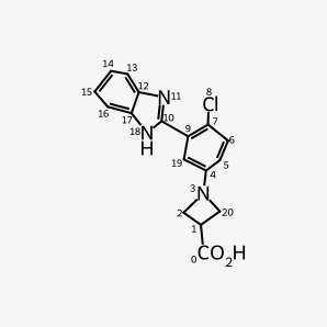 O=C(O)C1CN(c2ccc(Cl)c(-c3nc4ccccc4[nH]3)c2)C1